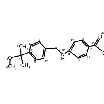 COC(C)(C)c1ccc(CNc2ccc(C(=O)O)cc2)cc1